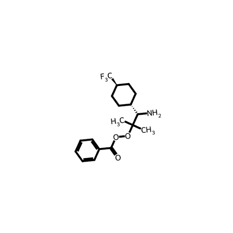 CC(C)(OOC(=O)c1ccccc1)C(N)[C@H]1CC[C@H](C(F)(F)F)CC1